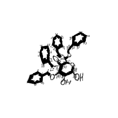 O[C@@H]1[C@@H](OCc2ccccc2)[C@@](Cc2ccccc2)(OCc2ccccc2)[C@@H](COCc2ccccc2)O[C@@H]1O